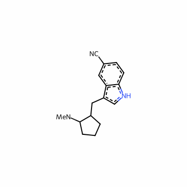 CNC1CCCC1Cc1c[nH]c2ccc(C#N)cc12